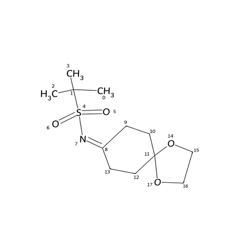 CC(C)(C)S(=O)(=O)N=C1CCC2(CC1)OCCO2